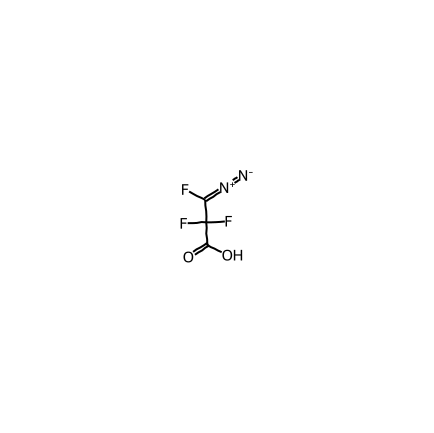 [N-]=[N+]=C(F)C(F)(F)C(=O)O